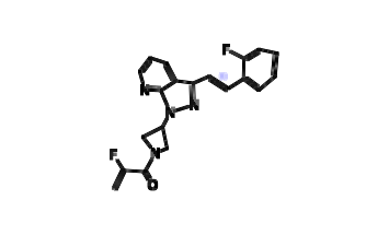 C=C(F)C(=O)N1CC(n2nc(/C=C/c3ccccc3F)c3cccnc32)C1